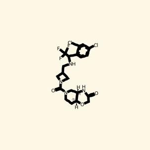 O=C1CO[C@H]2CCN(C(=O)N3CC(CNC(c4ccc(Cl)cc4Cl)C(F)(F)F)C3)C[C@H]2N1